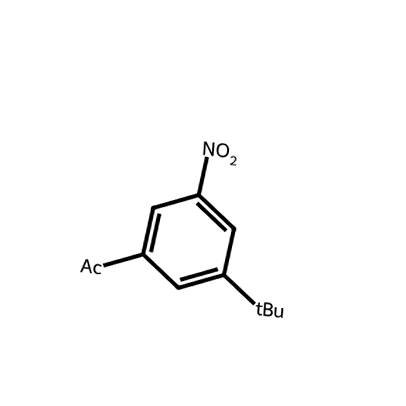 CC(=O)c1cc([N+](=O)[O-])cc(C(C)(C)C)c1